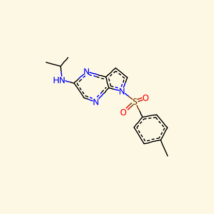 Cc1ccc(S(=O)(=O)n2ccc3nc(NC(C)C)cnc32)cc1